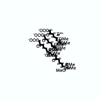 CO[Si](CCCCC(=O)CC(=O)[O-])(OC)OC.CO[Si](CCCCC(=O)CC(=O)[O-])(OC)OC.CO[Si](CCCCC(=O)CC(=O)[O-])(OC)OC.CO[Si](CCCCC(=O)CC(=O)[O-])(OC)OC.[Ti+4]